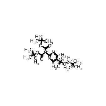 CC(C)(C)OC(=O)N(C(=O)OC(C)(C)C)c1ncc(C(C)(C)O[SiH2]C(C)(C)C)cn1